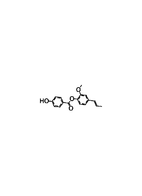 CC=Cc1ccc(OC(=O)c2ccc(O)cc2)c(OC)c1